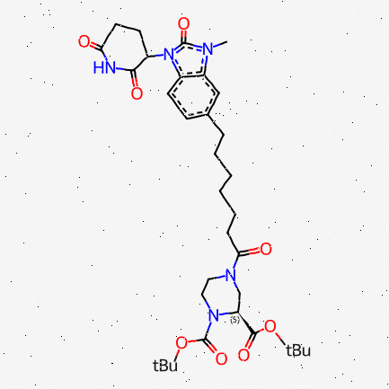 Cn1c(=O)n(C2CCC(=O)NC2=O)c2ccc(CCCCCCC(=O)N3CCN(C(=O)OC(C)(C)C)[C@H](C(=O)OC(C)(C)C)C3)cc21